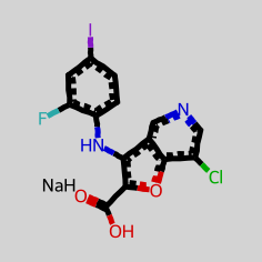 O=C(O)c1oc2c(Cl)cncc2c1Nc1ccc(I)cc1F.[NaH]